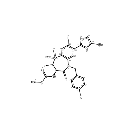 C[C@@H]1[C@H](NC(=O)OC(C)(C)C)C(=O)N(Cc2ccc(Cl)cc2)c2cc(-c3nnc(C(C)(C)C)o3)c(F)cc2S1(=O)=O